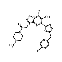 CC1CCN(C(=O)Cn2ccn3c(=O)c(O)c(-c4ncc(Cc5ccc(F)cc5)s4)nc23)CC1